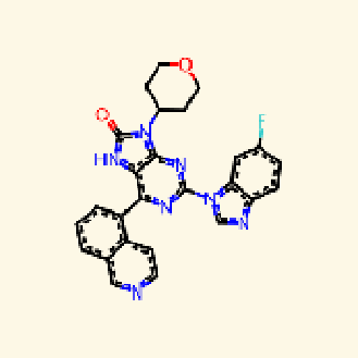 O=c1[nH]c2c(-c3cccc4cnccc34)nc(-n3cnc4ccc(F)cc43)nc2n1C1CCOCC1